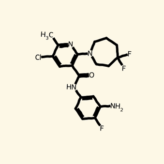 Cc1nc(N2CCCC(F)(F)CC2)c(C(=O)Nc2ccc(F)c(N)c2)cc1Cl